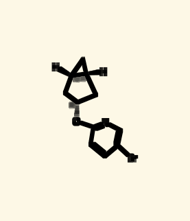 Brc1ccc(O[C@@H]2C[C@@H]3C[C@@H]3C2)nc1